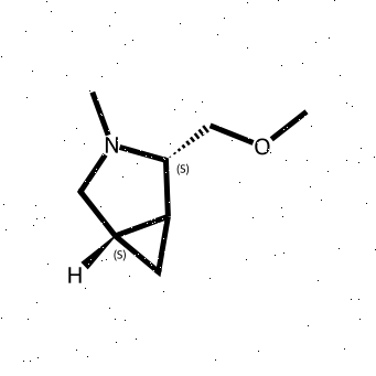 COC[C@@H]1C2C[C@@H]2CN1C